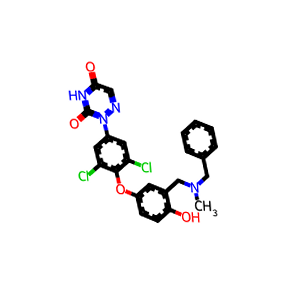 CN(Cc1ccccc1)Cc1cc(Oc2c(Cl)cc(-n3ncc(=O)[nH]c3=O)cc2Cl)ccc1O